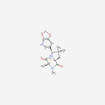 CN1C(=O)[C@@]23C[C@](C)(C#N)[C@H](c4cnc5c(c4)OCO5)N2C(=O)[C@]1(C)S3